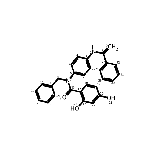 C=C(Nc1ccc(N(Cc2ccccc2)C(=O)c2ccc(O)cc2O)cc1)c1ccccc1